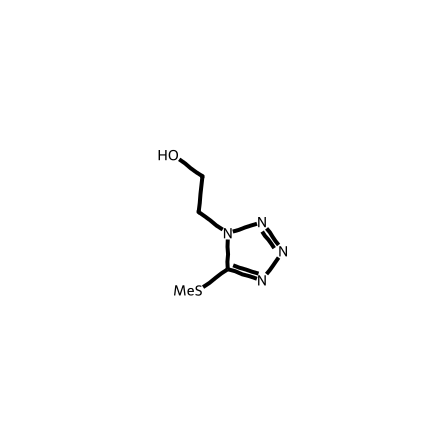 [CH2]Sc1nnnn1CCO